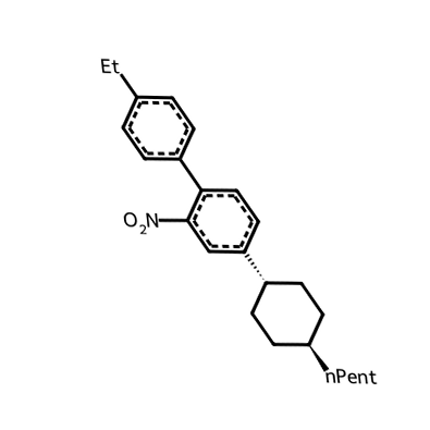 CCCCC[C@H]1CC[C@H](c2ccc(-c3ccc(CC)cc3)c([N+](=O)[O-])c2)CC1